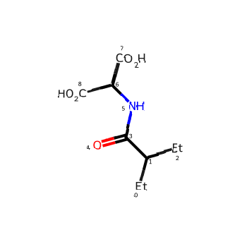 CCC(CC)C(=O)NC(C(=O)O)C(=O)O